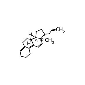 C=CC[C]1CC[C@H]2[C@@H]3CCC4=CCCCC4=C3C=C[C@]12C